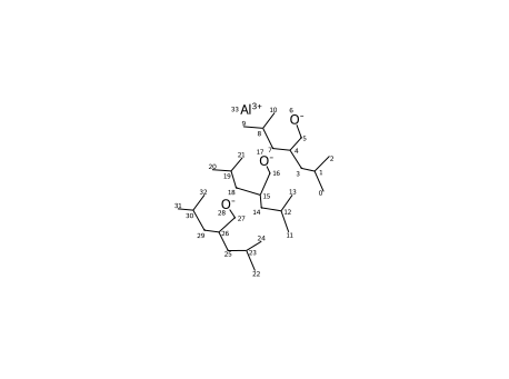 CC(C)CC(C[O-])CC(C)C.CC(C)CC(C[O-])CC(C)C.CC(C)CC(C[O-])CC(C)C.[Al+3]